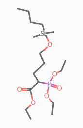 CCCC[Si](C)(C)OCCCC(C(=O)OCC)P(=O)(OCC)OCC